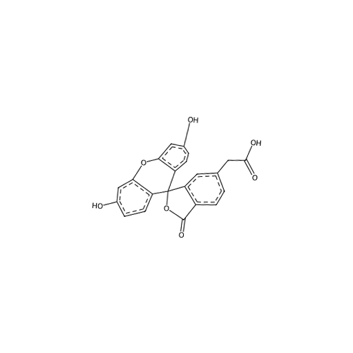 O=C(O)Cc1ccc2c(c1)C1(OC2=O)c2ccc(O)cc2Oc2cc(O)ccc21